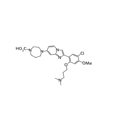 COc1cc(OCCCN(C)C)c(-c2cn3ccc(N4CCCN(C(=O)O)CC4)cc3n2)cc1Cl